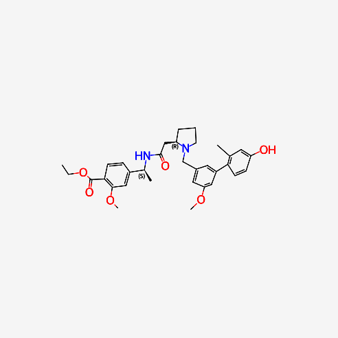 CCOC(=O)c1ccc([C@H](C)NC(=O)C[C@H]2CCCN2Cc2cc(OC)cc(-c3ccc(O)cc3C)c2)cc1OC